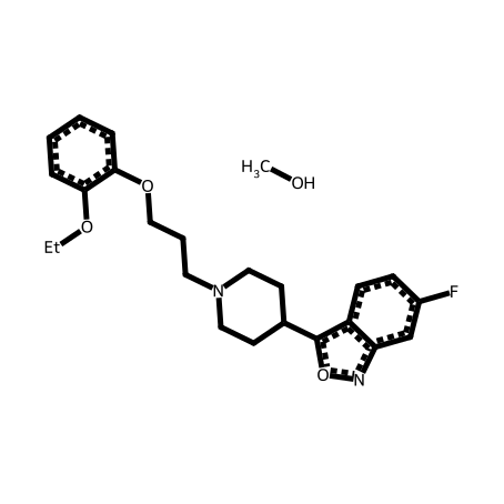 CCOc1ccccc1OCCCN1CCC(c2onc3cc(F)ccc23)CC1.CO